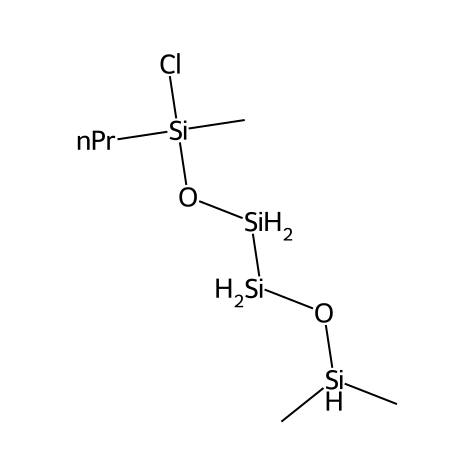 CCC[Si](C)(Cl)O[SiH2][SiH2]O[SiH](C)C